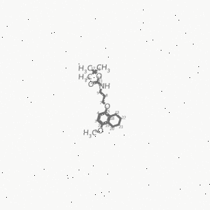 COc1ccc(OCCCNC(=O)OC(C)(C)C)c2c1CCCC2